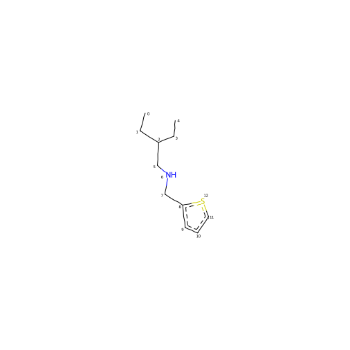 CCC(CC)CNCc1cc[c]s1